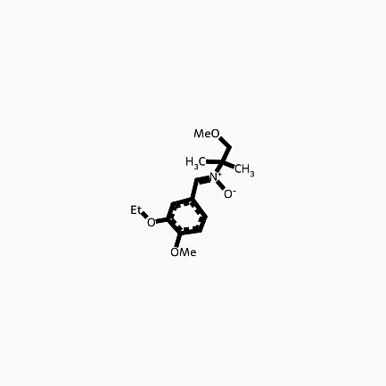 CCOc1cc(C=[N+]([O-])C(C)(C)COC)ccc1OC